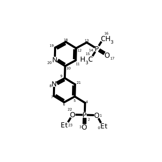 CCOP(=O)(Cc1ccnc(-c2cc(CP(C)(C)=O)ccn2)c1)OCC